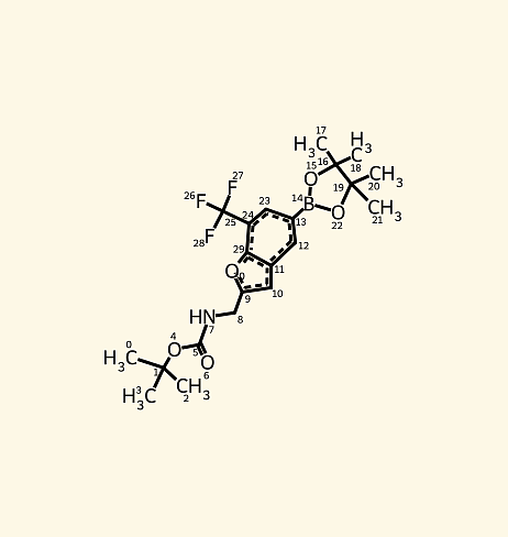 CC(C)(C)OC(=O)NCc1cc2cc(B3OC(C)(C)C(C)(C)O3)cc(C(F)(F)F)c2o1